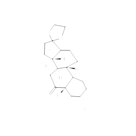 C=C1C[C@@H]2[C@H](CC[C@@]3(C)[C@H]2CCC32OCCO2)[C@H]2CC[C@H](O)C[C@H]12